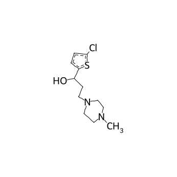 CN1CCN(CCC(O)c2ccc(Cl)s2)CC1